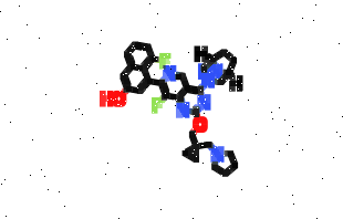 Oc1cc(-c2ncc3c(N4C[C@H]5CC[C@@H](C4)N5)nc(OCC4(CN5CCCC5)CC4)nc3c2F)c2c(F)cccc2c1